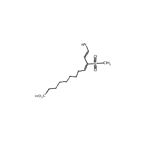 CCC/C=C/C(=C\CCCCCCCC(=O)O)S(C)(=O)=O